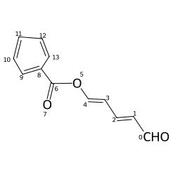 O=CC=CC=COC(=O)c1ccccc1